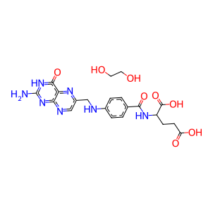 Nc1nc2ncc(CNc3ccc(C(=O)NC(CCC(=O)O)C(=O)O)cc3)nc2c(=O)[nH]1.OCCO